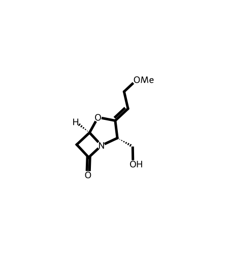 COC/C=C1\O[C@@H]2CC(=O)N2[C@H]1CO